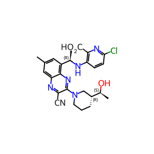 Cc1cc([C@@H](C)Nc2ccc(Cl)nc2C(=O)O)c2nc(N3CCC[C@@H]([C@H](C)O)C3)c(C#N)nc2c1